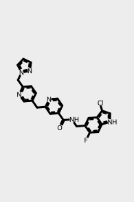 O=C(NCc1cc2c(Cl)c[nH]c2cc1F)c1ccnc(Cc2ccc(Cn3cccn3)nc2)c1